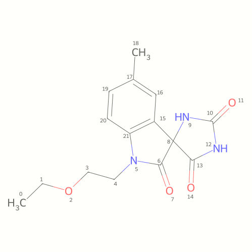 CCOCCN1C(=O)C2(NC(=O)NC2=O)c2cc(C)ccc21